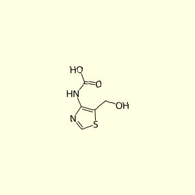 O=C(O)Nc1ncsc1CO